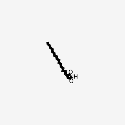 CCCCCCCCCCCCCCCC/C=C/C1CC(=O)NC1=O